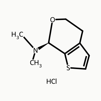 CN(C)[C@H]1OCCc2ccsc21.Cl